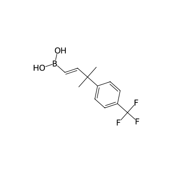 CC(C)(C=CB(O)O)c1ccc(C(F)(F)F)cc1